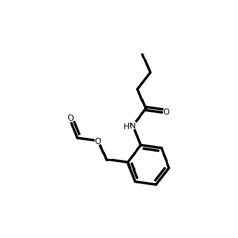 CCCC(=O)Nc1ccccc1COC=O